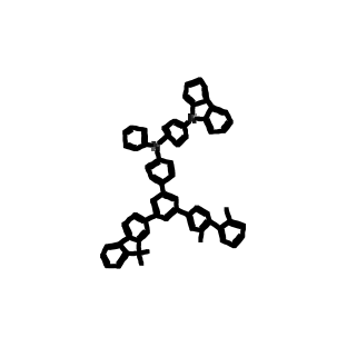 Cc1ccccc1-c1ccc(-c2cc(-c3ccc(N(c4ccccc4)c4ccc(-n5c6ccccc6c6ccccc65)cc4)cc3)cc(-c3ccc4c(c3)C(C)(C)c3ccccc3-4)c2)cc1C